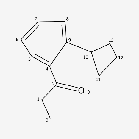 CCC(=O)c1ccccc1C1CCC1